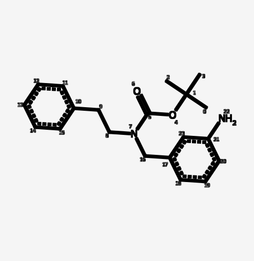 CC(C)(C)OC(=O)N(CCc1ccccc1)Cc1cccc(N)c1